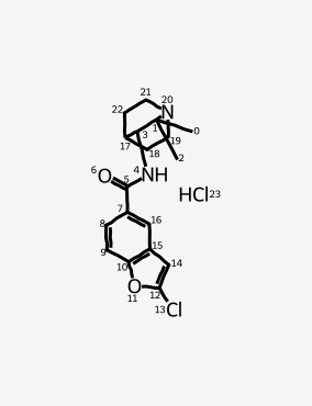 CC1(C)C(NC(=O)c2ccc3oc(Cl)cc3c2)C2CCN1CC2.Cl